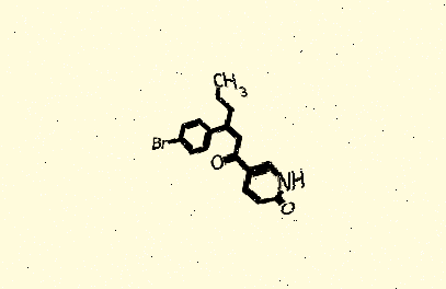 CCCC(CC(=O)c1ccc(=O)[nH]c1)c1ccc(Br)cc1